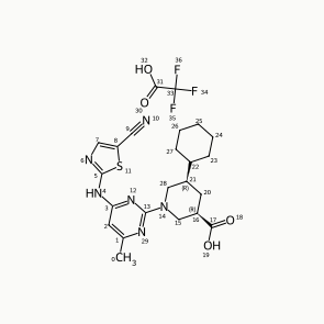 Cc1cc(Nc2ncc(C#N)s2)nc(N2C[C@H](C(=O)O)C[C@H](C3CCCCC3)C2)n1.O=C(O)C(F)(F)F